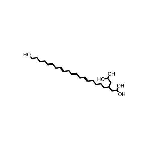 OCCCCC=CCC=CCC=CCC=CCCCCC(CC(O)O)CC(O)O